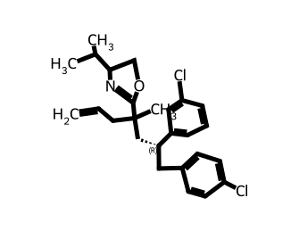 C=CCC(C)(C[C@@H](Cc1ccc(Cl)cc1)c1cccc(Cl)c1)C1=NC(C(C)C)CO1